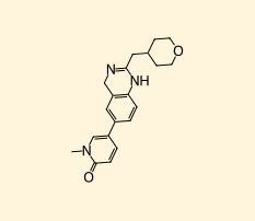 Cn1cc(-c2ccc3c(c2)CN=C(CC2CCOCC2)N3)ccc1=O